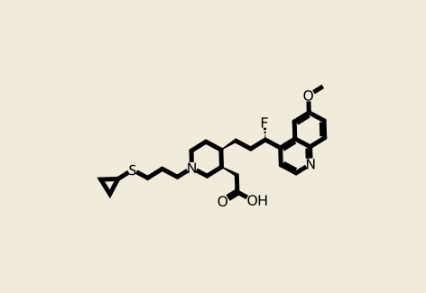 COc1ccc2nccc([C@@H](F)CC[C@@H]3CCN(CCCSC4CC4)C[C@@H]3CC(=O)O)c2c1